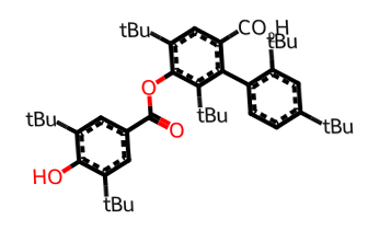 CC(C)(C)c1ccc(-c2c(C(=O)O)cc(C(C)(C)C)c(OC(=O)c3cc(C(C)(C)C)c(O)c(C(C)(C)C)c3)c2C(C)(C)C)c(C(C)(C)C)c1